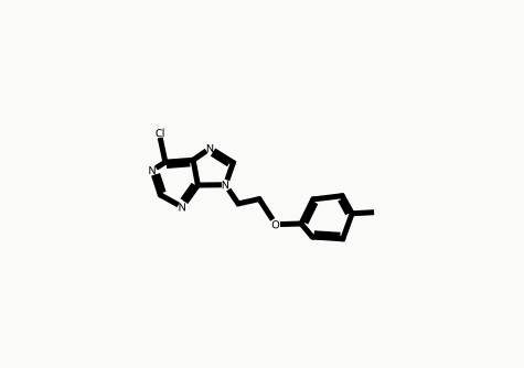 Cc1ccc(OCCn2cnc3c(Cl)ncnc32)cc1